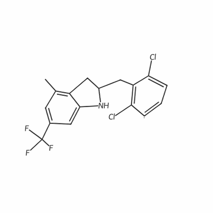 Cc1cc(C(F)(F)F)cc2c1CC(Cc1c(Cl)[c]ccc1Cl)N2